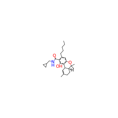 CCCCCc1cc2c(c(O)c1C(=O)NCC1CC1)C1C=C(C)CC[C@H]1C(C)(C)O2